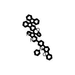 c1ccc(-n2c3cc(-c4cnc5c(c4)C4(c6ccccc6Oc6cc7c(cc64)-c4ccccc4C74c6ccccc6-c6ccccc64)c4cccnc4-5)ccc3c3ccc4c5ccccc5oc4c32)cc1